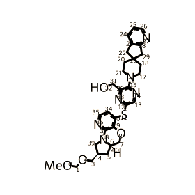 COCOC[C@@H]1C[C@@H]2COc3c(Sc4cnc(N5CCC6(CC5)Cc5cccnc5C6)c(CO)n4)ccnc3N2C1